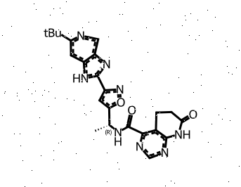 C[C@@H](NC(=O)c1ncnc2c1CCC(=O)N2)c1cc(-c2nc3cnc(C(C)(C)C)cc3[nH]2)no1